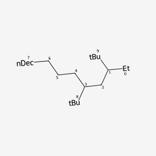 [CH2]CC(CC(CCCCCCCCCCCCC)C(C)(C)C)C(C)(C)C